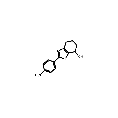 Nc1ccc(-c2nc3c(s2)C(O)CCC3)cc1